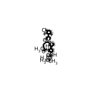 C[C@@H]1CCCC(N2CCC(c3c(F)ccc(Cl)c3F)=CC2=O)c2cc(ccn2)-c2ccc(NC(=O)OC(C)(C)C)cc2NC1=O